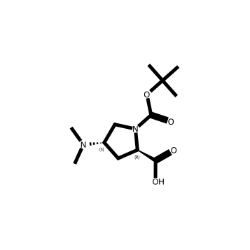 CN(C)[C@H]1C[C@H](C(=O)O)N(C(=O)OC(C)(C)C)C1